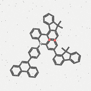 CC1(C)c2ccccc2-c2c(-c3ccccc3N(c3ccc(-c4cc5ccccc5c5ccccc45)cc3)c3cccc(-c4cccc5c4C(C)(C)c4ccccc4-5)c3)cccc21